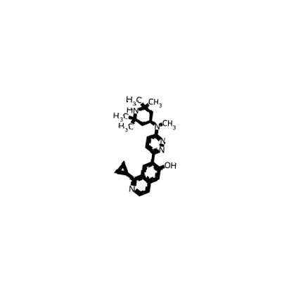 CN(c1ccc(-c2cc3c(C4CC4)nccc3cc2O)nn1)C1CC(C)(C)NC(C)(C)C1